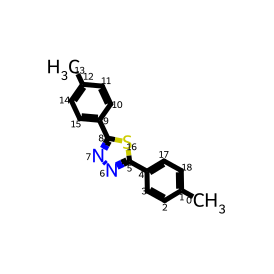 Cc1ccc(-c2nnc(-c3ccc(C)cc3)s2)cc1